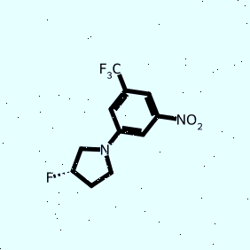 O=[N+]([O-])c1cc(N2CC[C@H](F)C2)cc(C(F)(F)F)c1